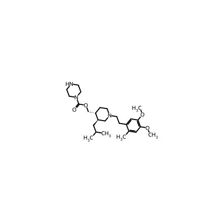 COc1cc(C)c(CCN2CC[C@@H](COC(=O)N3CCNCC3)[C@H](CC(C)C)C2)cc1OC